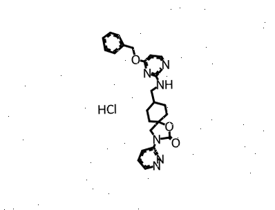 Cl.O=C1OC2(CCC(CNc3nccc(OCc4ccccc4)n3)CC2)CN1c1cccnn1